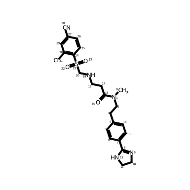 CN(CCc1ccc(C2=NCCN2)cc1)C(=O)CCNCS(=O)(=O)c1ccc(C#N)cc1Cl